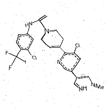 C=C(Nc1ccc(C(F)(F)I)c(Cl)c1)N1CC=C(c2ncc(/C(C=N)=C/NC)cc2Cl)CC1